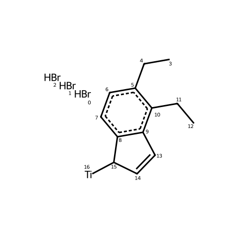 Br.Br.Br.CCc1ccc2c(c1CC)C=C[CH]2[Ti]